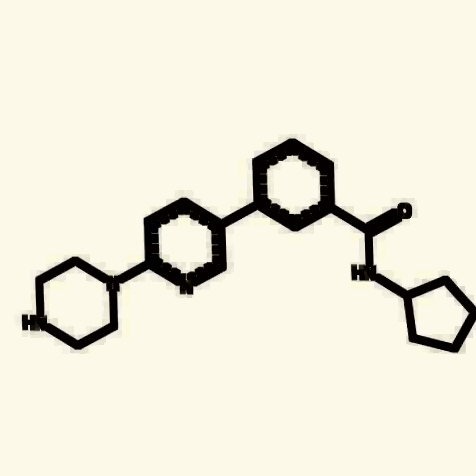 O=C(NC1CCCC1)c1cccc(-c2ccc(N3CCNCC3)nc2)c1